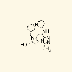 Cc1cc2c(cc(Nc3cccnc3)c3nnc(C)n32)n1Cc1ccccc1